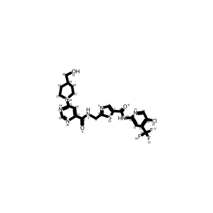 O=C(NCc1ncc(C(=O)Nc2cc(C(F)(F)F)c(Cl)cn2)s1)c1cc(N2CCC(CO)CC2)ncn1